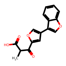 CC(C(=O)O)C(=O)c1cc(-c2coc3ccccc23)co1